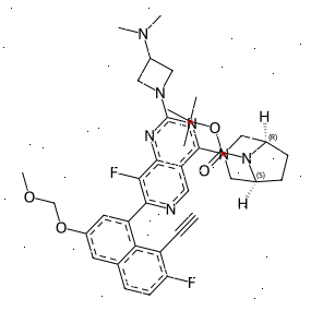 C#Cc1c(F)ccc2cc(OCOC)cc(-c3ncc4c(N5C[C@H]6CC[C@@H](C5)N6C(=O)OC(C)(C)C)nc(N5CC(N(C)C)C5)nc4c3F)c12